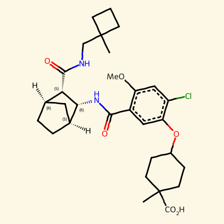 COc1cc(Cl)c(OC2CCC(C)(C(=O)O)CC2)cc1C(=O)N[C@@H]1[C@H]2CC[C@H](C2)[C@@H]1C(=O)NCC1(C)CCC1